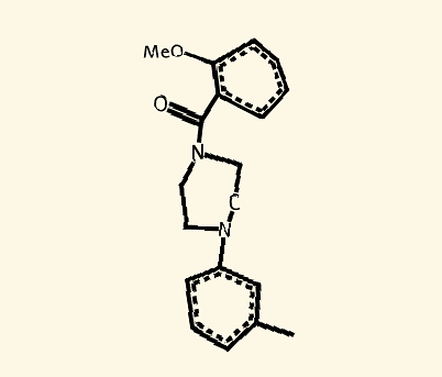 COc1ccccc1C(=O)N1CCN(c2cccc(C)c2)CC1